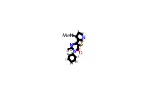 CNc1ccnc2sc3c(=O)n(-c4ccccc4)c(C)nc3c12